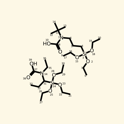 CCO[Si](CCCN(C(=O)O)C(C)(C)C)(OCC)OCC.CCO[Si](OCC)(OCC)C(CC)N(CC)C(=O)O